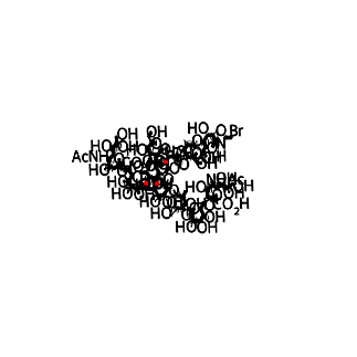 CC(=O)N[C@H]1C([C@H](O)[C@H](O)CO)O[C@@](OCC2O[C@@H](O[C@H]3C(O)C(C)[C@H](OC4[C@@H](OCC5O[C@@H](O[C@@H]6C(CO)O[C@@H](O[C@@H]7C(CO)O[C@@H](NC(=O)CBr)[C@@H](C)C7O)[C@@H](C)C6O)[C@H](O)C(O[C@H]6O[C@H](CO)[C@@H](O)C(O)C6O[C@@H]6OC(CO)[C@@H](O[C@@H]7OC(CO[C@]8(C(=O)O)C[C@@H](O)[C@@H](NC(C)=O)C([C@H](O)[C@H](O)CO)O8)[C@H](O)[C@H](O)C7O)C(O)[C@@H]6C)[C@@H]5O)OC(CO)[C@@H](O)[C@@H]4O)O[C@H]3CO)[C@@H](O)C(O)[C@H]2O)(C(=O)O)C[C@H]1O